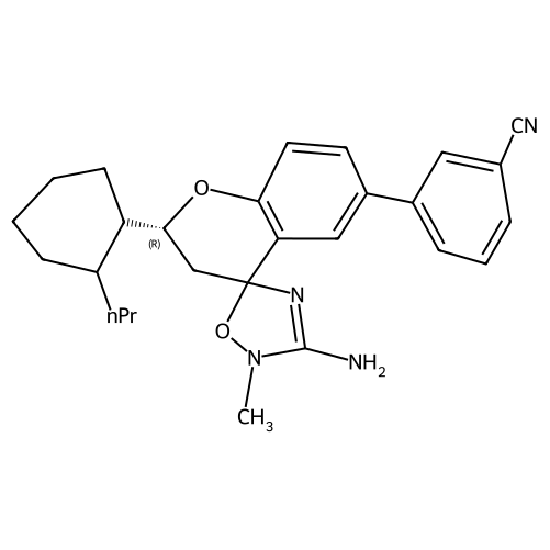 CCCC1CCCCC1[C@H]1CC2(N=C(N)N(C)O2)c2cc(-c3cccc(C#N)c3)ccc2O1